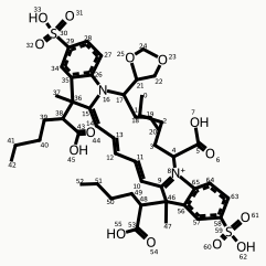 CCCCC(C(=O)O)[N+]1=C(/C=C/C=C/C=C2\N(C(CCC)C3COCO3)c3ccc(S(=O)(=O)O)cc3C2(C)C(CCCC)C(=O)O)C(C)(C(CCCC)C(=O)O)c2cc(S(=O)(=O)O)ccc21